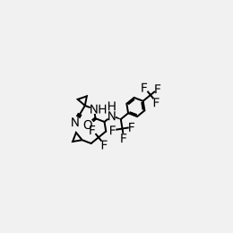 N#CC1(NC(=O)C(CC(F)(F)CC2CC2)N[C@@H](c2ccc(C(F)(F)F)cc2)C(F)(F)F)CC1